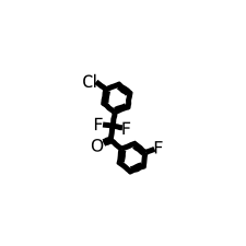 O=C(c1cccc(F)c1)C(F)(F)c1cccc(Cl)c1